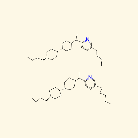 CCCCCc1ccc(C(C)C2CCC([C@H]3CC[C@H](CCCC)CC3)CC2)nc1.CCCCc1ccc(C(C)C2CCC([C@H]3CC[C@H](CCCC)CC3)CC2)nc1